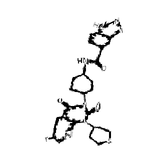 O=C(NC1CCC(n2c(=O)c3cc(F)cnc3n(C3CCSCC3)c2=O)CC1)c1ccc2[nH]nnc2c1